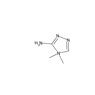 C[N+]1(C)C=NN=C1N